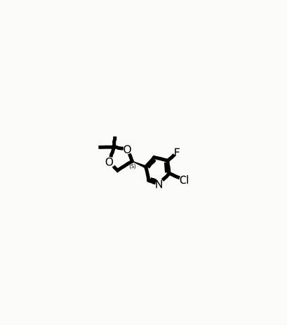 CC1(C)OC[C@H](c2cnc(Cl)c(F)c2)O1